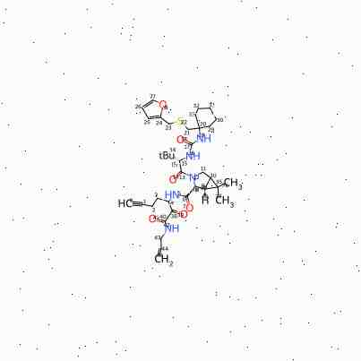 C#CCCC(NC(=O)[C@@H]1[C@@H]2C(CN1C(=O)[C@@H](NC(=O)NC1(CSCc3ccco3)CCCCC1)C(C)(C)C)C2(C)C)C(=O)C(=O)NCC=C